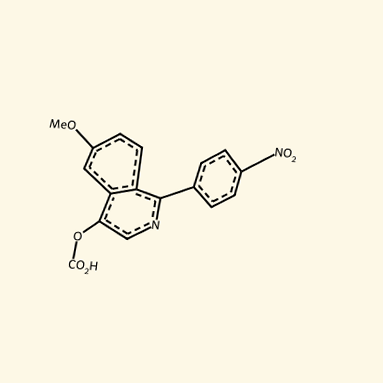 COc1ccc2c(-c3ccc([N+](=O)[O-])cc3)ncc(OC(=O)O)c2c1